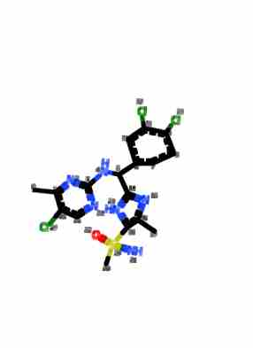 Cc1nc(NC(c2ccc(Cl)c(Cl)c2)c2nc(C)c(S(C)(=N)=O)[nH]2)ncc1Cl